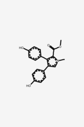 COC(=O)c1c(-c2ccc(O)cc2)c(-c2ccc(O)cc2)cn1C